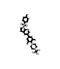 [2H]C([2H])([2H])N1CCN(c2c(C)cc(-c3cnc4c(ccn4S(=O)(=O)c4ccc(C)cc4)c3)cc2C)CC1